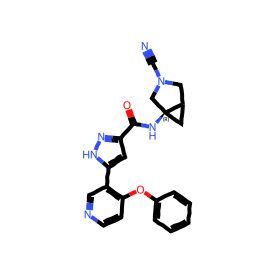 N#CN1CC2C[C@]2(NC(=O)c2cc(-c3cnccc3Oc3ccccc3)[nH]n2)C1